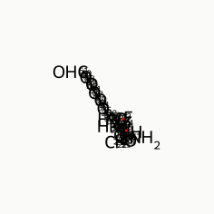 Cc1c(F)ccc(F)c1-c1c(C(=O)NC(=CC(N)=O)c2cccc(Cl)c2)c[nH]c1C(=O)c1ccc(CCOCCOCCOCCOCCOCC=O)cc1